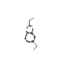 CCc1ccc2nc(CC)sc2c1